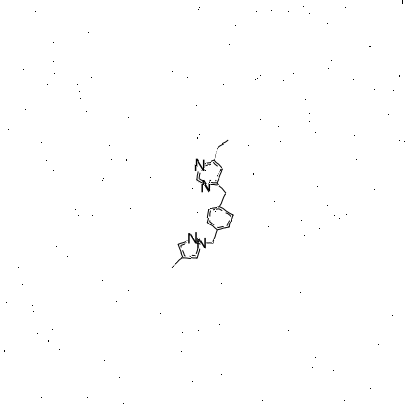 CCc1cc(Cc2ccc(Cn3cc(C)cn3)cc2)ncn1